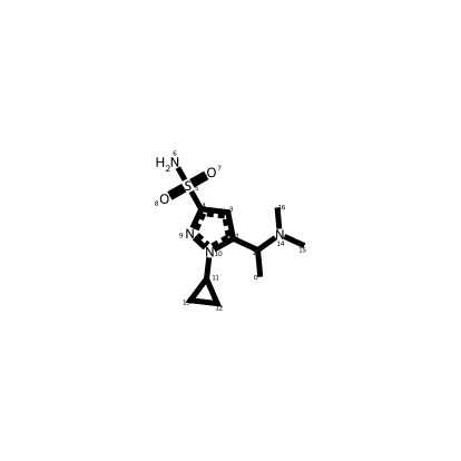 CC(c1cc(S(N)(=O)=O)nn1C1CC1)N(C)C